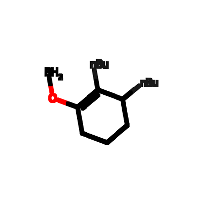 BOC1=C(CCCC)C(CCCC)CCC1